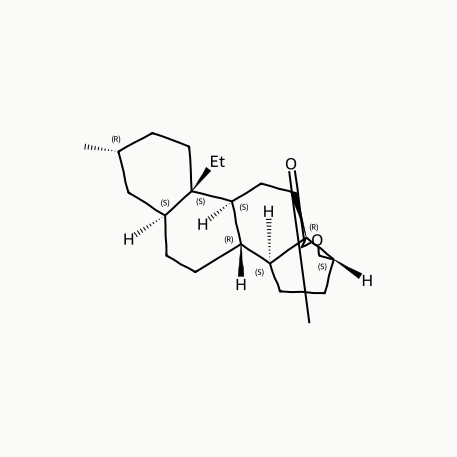 CC[C@]12CC[C@@H](C)C[C@@H]1CC[C@@H]1[C@@H]2CC[C@]23C(=O)OC[C@H]2CC[C@@H]13